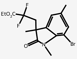 CCOC(=O)C(F)(F)CC1(C)C(=O)N(C)c2c(Br)cc(C)cc21